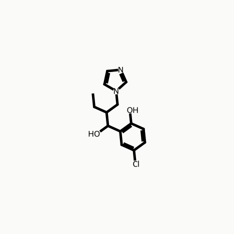 CCC(Cn1ccnc1)C(O)c1cc(Cl)ccc1O